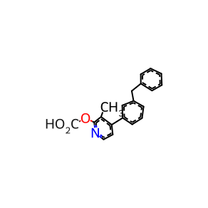 Cc1c(-c2cccc(Cc3ccccc3)c2)ccnc1OC(=O)O